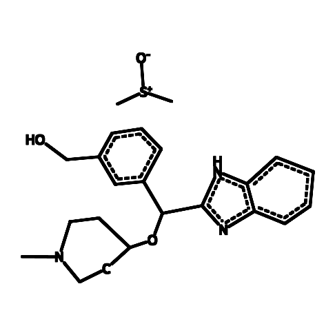 CN1CCC(OC(c2cccc(CO)c2)c2nc3ccccc3[nH]2)CC1.C[S+](C)[O-]